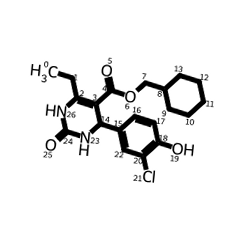 CCC1=C(C(=O)OCC2CCCCC2)C(c2ccc(O)c(Cl)c2)NC(=O)N1